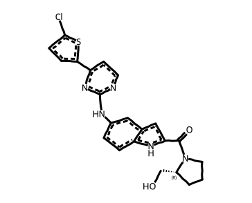 O=C(c1cc2cc(Nc3nccc(-c4ccc(Cl)s4)n3)ccc2[nH]1)N1CCC[C@@H]1CO